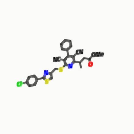 COC(=O)CC(C)c1nc(SCc2csc(-c3ccc(Cl)cc3)n2)c(C#N)c(-c2ccccc2)c1C#N